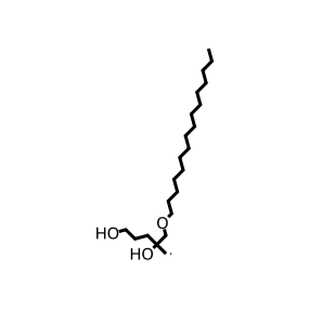 [CH2]C(O)(CCCO)COCCCCCCCCCCCCCCCC